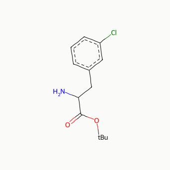 CC(C)(C)OC(=O)C(N)Cc1cccc(Cl)c1